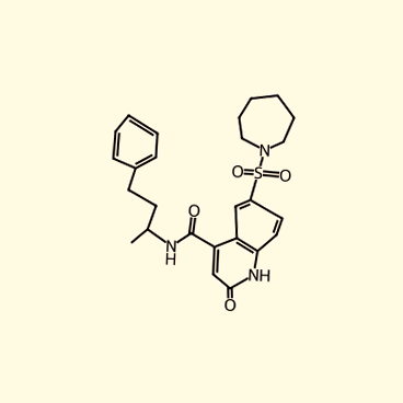 CC(CCc1ccccc1)NC(=O)c1cc(=O)[nH]c2ccc(S(=O)(=O)N3CCCCCC3)cc12